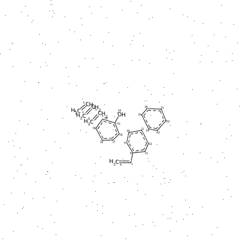 C=C.C=C.C=C.C=Cc1ccccc1.Oc1ccccc1.c1ccccc1